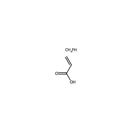 C.C=CC(=O)O.F